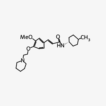 COc1cc(C=CC(=O)N[C@H]2CC[C@H](C)CC2)ccc1OCCN1CCCCC1